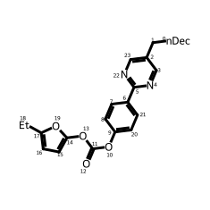 CCCCCCCCCCCc1cnc(-c2ccc(OC(=O)Oc3ccc(CC)o3)cc2)nc1